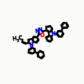 C=C/C=C\c1cc2cc(-c3nnc(-c4cccc5c4c4ccccc4n5-c4cccc(-c5ccccc5)c4)o3)ccc2n1-c1cccc(-c2ccccc2)c1